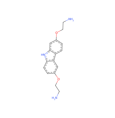 NCCOc1ccc2c(c1)[nH]c1ccc(OCCN)cc12